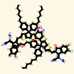 [C-]#[N+]/C(C#N)=C1\C(=C\c2cc3c(s2)-c2sc4c(c2C3(c2ccc(CCCCCC)cc2)c2ccc(CCCCCC)cc2)c2nonc2c2sc3c(c24)C(c2ccc(CCCCCC)cc2)(c2ccc(CCCCCC)cc2)c2cc(/C=C4\C(=O)c5cc(Cl)c(Cl)cc5\C4=C(\C#N)[N+]#[C-])sc2-3)C(=O)c2cc(Cl)c(C)cc21